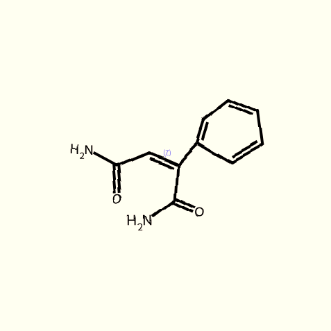 NC(=O)/C=C(\C(N)=O)c1ccccc1